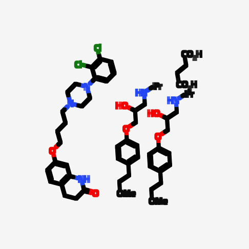 COCCc1ccc(OCC(O)CNC(C)C)cc1.COCCc1ccc(OCC(O)CNC(C)C)cc1.O=C(O)CCC(=O)O.O=C1CCc2ccc(OCCCCN3CCN(c4cccc(Cl)c4Cl)CC3)cc2N1